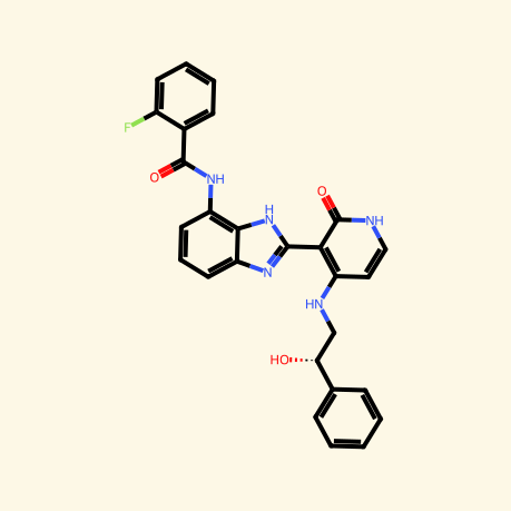 O=C(Nc1cccc2nc(-c3c(NC[C@@H](O)c4ccccc4)cc[nH]c3=O)[nH]c12)c1ccccc1F